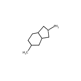 CC1CCC2CN(P)CC2C1